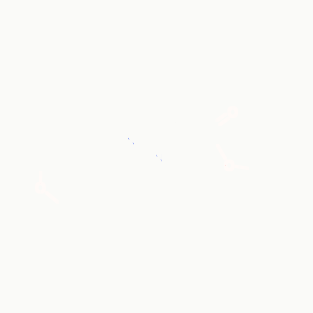 CCOC(=O)c1ccn(C2CCOCC2)n1